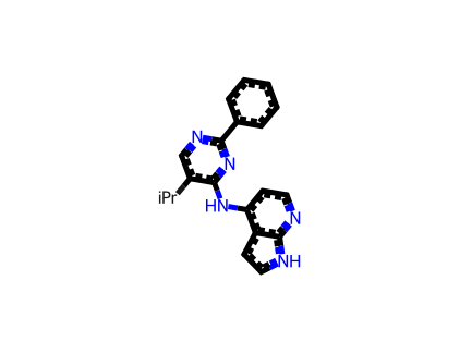 CC(C)c1cnc(-c2ccccc2)nc1Nc1ccnc2[nH]ccc12